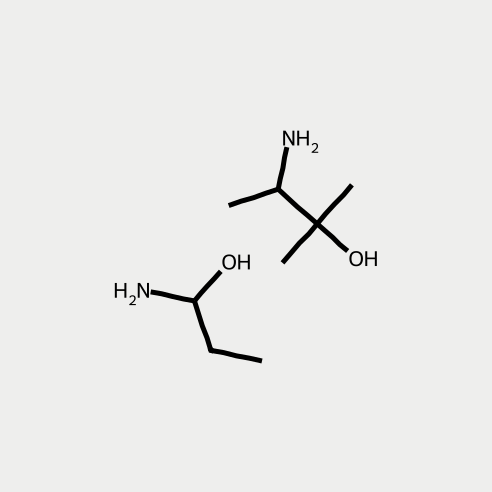 CC(N)C(C)(C)O.CCC(N)O